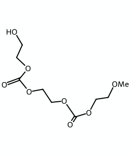 COCCOC(=O)OCCOC(=O)OCCO